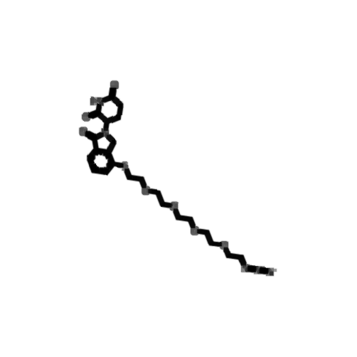 [N-]=[N+]=NCCOCCOCCOCCOCCSc1cccc2c1CN(C1CCC(=O)NC1=O)C2=O